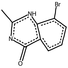 Cc1nc(=O)c2cccc(Br)c2[nH]1